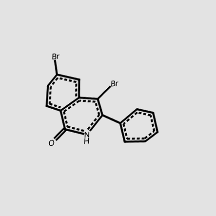 O=c1[nH]c(-c2ccccc2)c(Br)c2cc(Br)ccc12